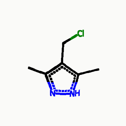 Cc1n[nH]c(C)c1CCl